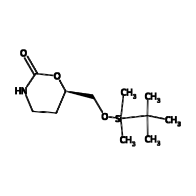 CC(C)(C)[Si](C)(C)OC[C@H]1CCNC(=O)O1